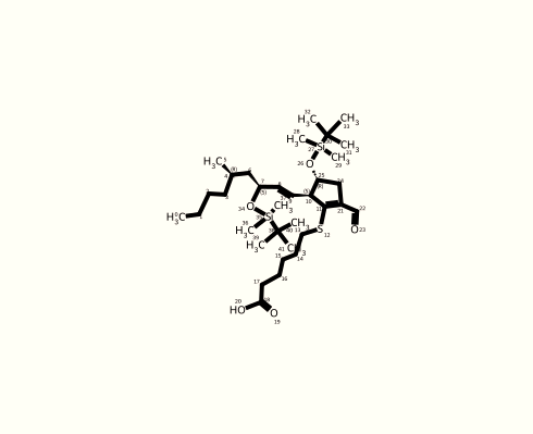 CCCC[C@@H](C)C[C@@H](C=C[C@@H]1C(SCCCCCC(=O)O)=C(C=O)C[C@H]1O[Si](C)(C)C(C)(C)C)O[Si](C)(C)C(C)(C)C